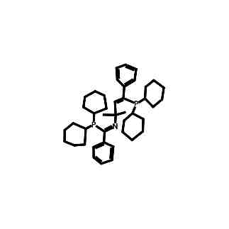 CC(C)(C=C(c1ccccc1)P(C1CCCCC1)C1CCCCC1)N=C(c1ccccc1)P(C1CCCCC1)C1CCCCC1